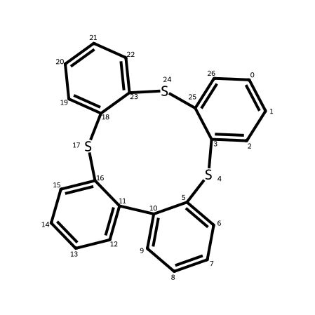 c1ccc2sc3ccccc3c3ccccc3sc3ccccc3sc2c1